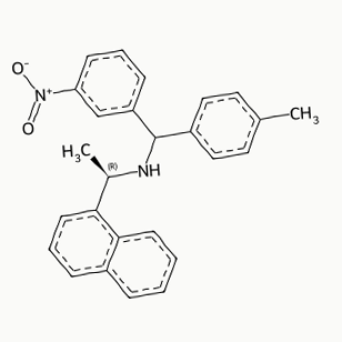 Cc1ccc(C(N[C@H](C)c2cccc3ccccc23)c2cccc([N+](=O)[O-])c2)cc1